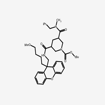 COCCCCC1(CNC(=O)C2CC(C(=O)N(C)CC(C)C)CN(C(=O)OC(C)(C)C)C2)c2ccccc2Oc2ccccc21